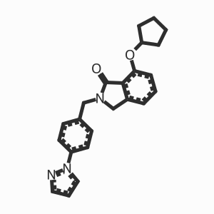 O=C1c2c(cccc2OC2CCCC2)CN1Cc1ccc(-n2cccn2)cc1